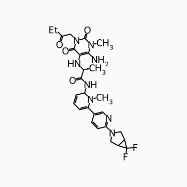 CCC(=O)Cn1c(=O)c(N[C@@H](C)C(=O)NC2C=CC=C(c3ccc(N4CC5C(C4)C5(F)F)nc3)N2C)c(N)n(C)c1=O